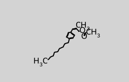 CCCCCCCCCCc1ccc(C=C(C)COC(C)=O)cc1